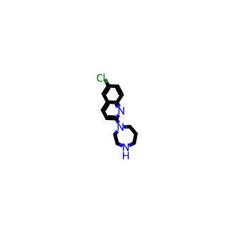 Clc1ccc2nc(N3CCCNCC3)ccc2c1